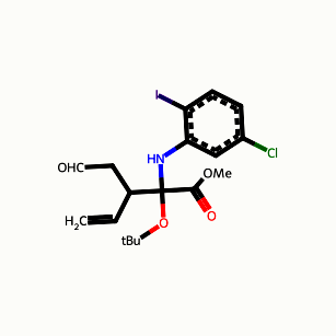 C=CC(CC=O)C(Nc1cc(Cl)ccc1I)(OC(C)(C)C)C(=O)OC